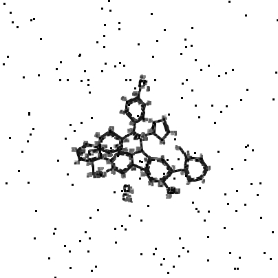 Cc1ccccc1-c1cc2c(cc1C(C)(C)C)-c1cc(C(C)(C)C)c(-c3ccccc3C)cc1[CH]2[Zr+2]([C]1=CC=CC1)=[C](c1ccc(C(F)(F)F)cc1)c1ccc(C(F)(F)F)cc1.[Cl-].[Cl-]